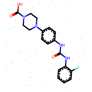 O=C(Nc1ccc(N2CCN(C(=O)O)CC2)cc1)Nc1ccccc1F